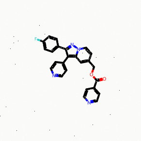 O=C(OCc1ccn2nc(-c3ccc(F)cc3)c(-c3ccncc3)c2c1)c1ccncc1